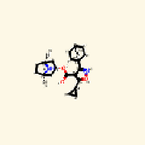 O=C(O[C@@H]1C[C@H]2CC[C@@H](C1)N2)c1c(C23CCC(CC2)CC3)noc1C1CC1